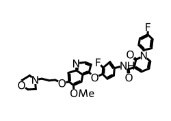 COc1cc2c(Oc3ccc(NC(=O)c4cccn(-c5ccc(F)cc5)c4=O)cc3F)ccnc2cc1OCCCN1CCOCC1